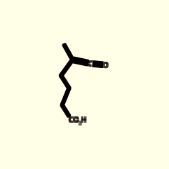 CC(=C=O)CCCC(=O)O